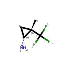 C[C@]1(C(F)(F)F)C[C@H]1N